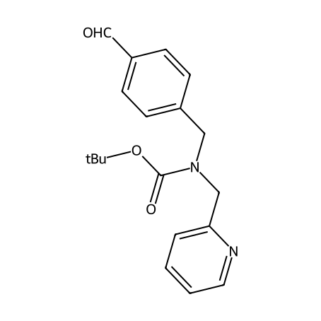 CC(C)(C)OC(=O)N(Cc1ccc(C=O)cc1)Cc1ccccn1